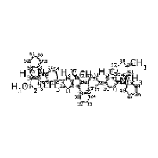 CC1CCC2(C)c3cc(-c4ccc5c(c4)C(C)(C)c4c-5c5ccccc5c5cc(-c6ccc7c(c6)C6(C)CCC(C)CC6(C)N7c6ccccc6)ccc45)ccc3N(c3ccccc3)C2(C)C1